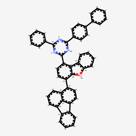 c1ccc(-c2ccc(-c3nc(-c4ccccc4)nc(-c4ccc(-c5ccc6c7c(cccc57)-c5ccccc5-6)c5oc6ccccc6c45)n3)cc2)cc1